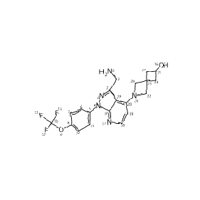 NCc1nn(-c2ccc(OC(F)(F)F)cc2)c2nccc(N3CC4(CC(O)C4)C3)c12